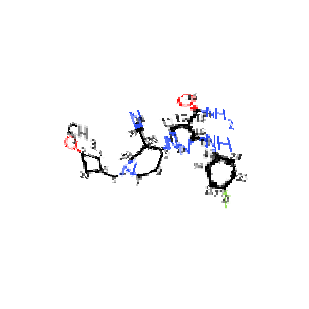 COC1CC(CN2CCC(n3cc(C(N)=O)c(Nc4ccc(F)cc4)n3)C(C#N)C2)C1